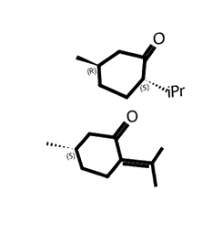 CC(C)=C1CC[C@H](C)CC1=O.CC(C)[C@@H]1CC[C@@H](C)CC1=O